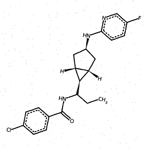 CCC(NC(=O)c1ccc(Cl)cc1)[C@H]1[C@@H]2C[C@@H](Nc3ccc(F)cn3)C[C@@H]21